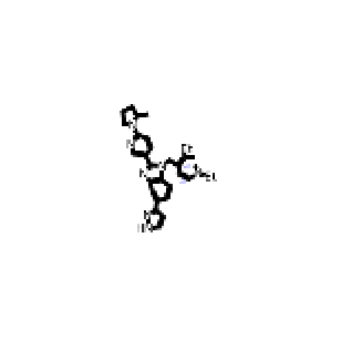 CC/C(C)=C(/C=C\N(C)CC)Cn1c(-c2ccc(N3CCCC3C)nc2)nc2cc(-c3cc[nH]n3)ccc21